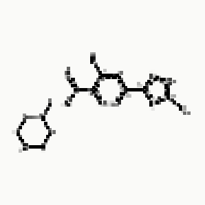 O=C(NCC1CCOCC1)c1ccc(-c2noc(C(F)(F)F)n2)cc1F